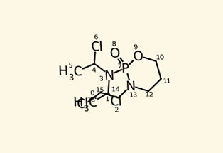 CC(Cl)N(C(C)Cl)P1(=O)OCCCN1CCCl